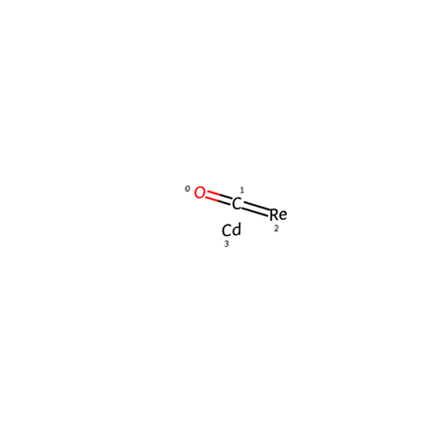 O=[C]=[Re].[Cd]